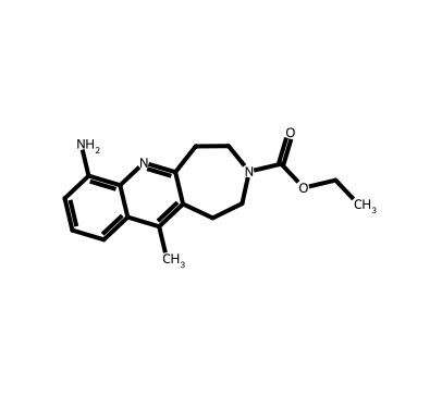 CCOC(=O)N1CCc2nc3c(N)cccc3c(C)c2CC1